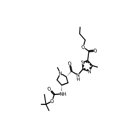 CCCOC(=O)c1sc(NC(=O)[C@@H]2C[C@H](NC(=O)OC(C)(C)C)CN2C)nc1C